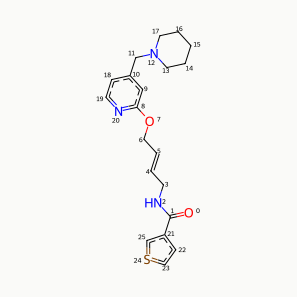 O=C(NCC=CCOc1cc(CN2CCCCC2)ccn1)c1ccsc1